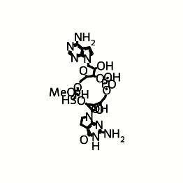 CO[PH]1(S)OCC2OC(n3ccc4c(N)ncnc43)C(O)C2OP(=O)(O)OCC2OC(N3CCc4c3nc(N)[nH]c4=O)C(O1)C2O